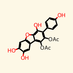 CC(=O)Oc1c(-c2ccc(O)cc2)c(O)c2oc3cc(O)c(O)cc3c2c1OC(C)=O